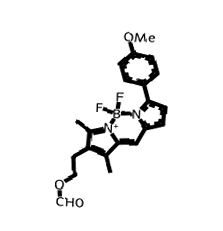 COc1ccc(-c2ccc3n2[B-](F)(F)[N+]2=C(C)C(CCOC=O)=C(C)C2=C3)cc1